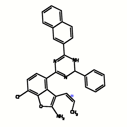 C/C=C\c1c(N)oc2c(Cl)ccc(C3=NC(c4ccccc4)NC(c4ccc5ccccc5c4)=N3)c12